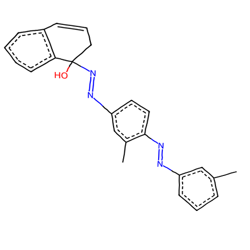 Cc1cccc(N=Nc2ccc(N=NC3(O)CC=Cc4ccccc43)cc2C)c1